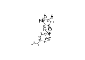 C/C=C/C1CCC(C(F)(F)OC2CC(F)C(F)C(F)C2)C(F)C1